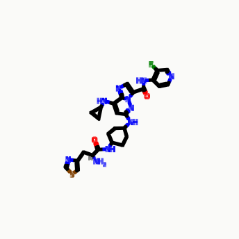 N[C@@H](Cc1cscn1)C(=O)NC1CCC(Nc2cc(NC3CC3)c3ncc(C(=O)Nc4ccncc4F)n3n2)CC1